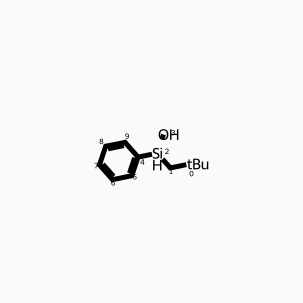 CC(C)(C)C[SiH](O)c1ccccc1